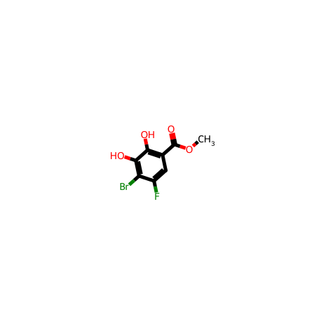 COC(=O)c1cc(F)c(Br)c(O)c1O